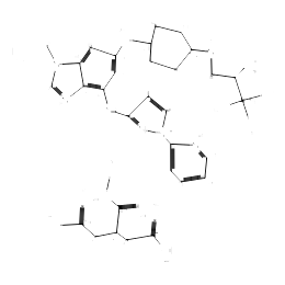 Cn1cnc2c(Nc3ccn(-c4ccccn4)n3)cc(OC3CCC(NC[C@@H](O)C(F)(F)F)CC3)cc21.O.O=C(O)CC(CC(=O)O)C(=O)OO